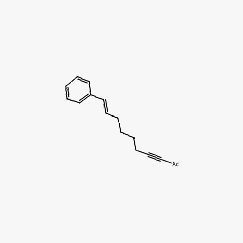 CC(=O)C#CCCCCC=Cc1ccccc1